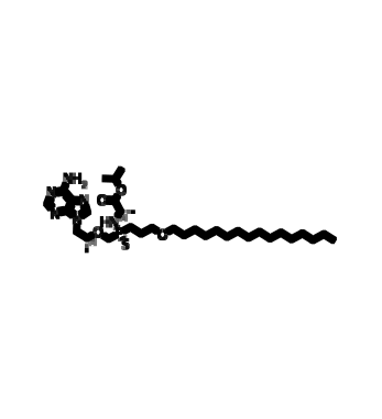 CCCCCCCCCCCCCCCCOCCCP(=S)(CO[C@H](C)Cn1cnc2c(N)ncnc21)N[C@@H](C)C(=O)OC(C)C